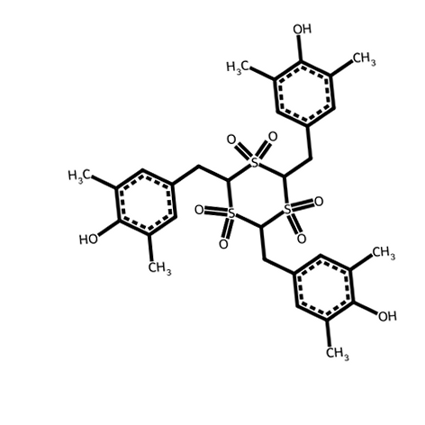 Cc1cc(CC2S(=O)(=O)C(Cc3cc(C)c(O)c(C)c3)S(=O)(=O)C(Cc3cc(C)c(O)c(C)c3)S2(=O)=O)cc(C)c1O